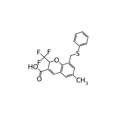 Cc1cc2c(c(CSc3ccccc3)c1)OC(C(F)(F)F)C(C(=O)O)=C2